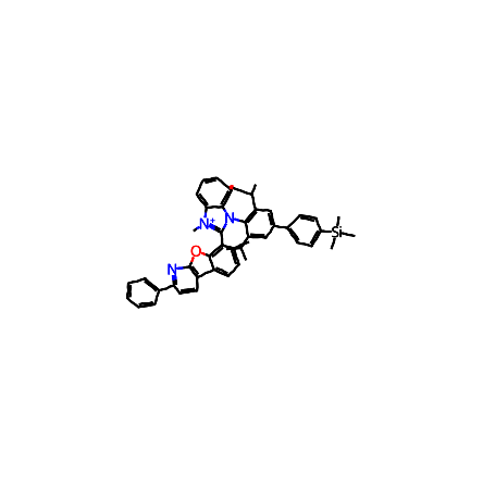 Cc1ccc2c(oc3nc(-c4ccccc4)ccc32)c1-c1n(-c2c(C(C)C)cc(-c3ccc([Si](C)(C)C)cc3)cc2C(C)C)c2ccccc2[n+]1C